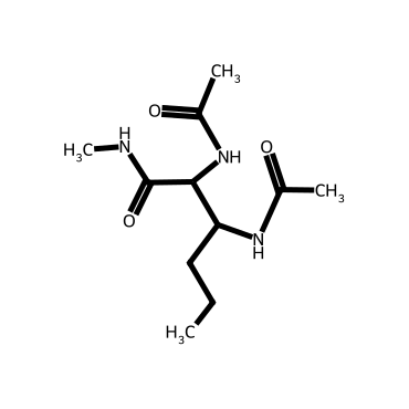 CCCC(NC(C)=O)C(NC(C)=O)C(=O)NC